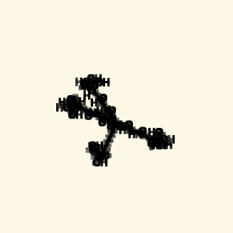 CC(=O)NC1C(OCCCCC(=O)NCCCNC(=O)CCOCC(COCCC(=O)NCCCNC(=O)CCCCOC2OC(CO)C(O)C(O)C2NC(C)=O)(COCCC(=O)NCCCNC(=O)CCCCOC2OC(CO)C(O)C(O)C2NC(C)=O)NC(=O)CCCCCCCCCCC(=O)N2C[C@H](O)C[C@H]2COP(C)(=O)O)OC(CO)C(O)C1O